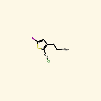 CCCCCCCCc1cc(I)s[c]1[Mg][Cl]